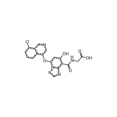 O=C(O)CNC(=O)c1c(O)cc(Oc2cncc3c(Cl)cccc23)n2ncnc12